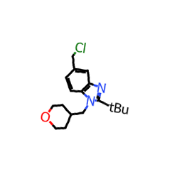 CC(C)(C)c1nc2cc(CCl)ccc2n1CC1CCOCC1